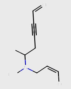 C=CC#CCC(CC)N(C)C/C=C\CC